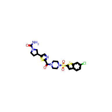 NC(=O)N1CCC(c2cnc(C(=O)N3CCN(S(=O)(=O)c4cc5ccc(Cl)cc5s4)CC3)s2)C1